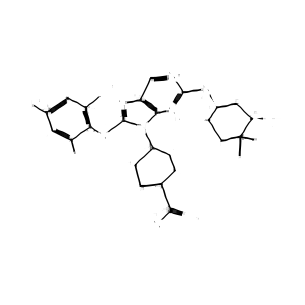 CC1(C)CC[C@@H](Nc2ncc3nc(Nc4c(F)cc(Cl)cc4F)n(C4CCC(C(N)=O)CC4)c3n2)C[C@H]1O